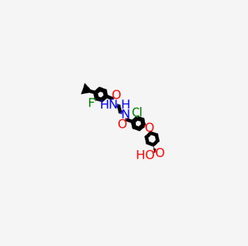 O=C(NCCNC(=O)c1ccc(O[C@H]2CC[C@@H](C(=O)O)CC2)cc1Cl)c1ccc(C2CC2)c(F)c1